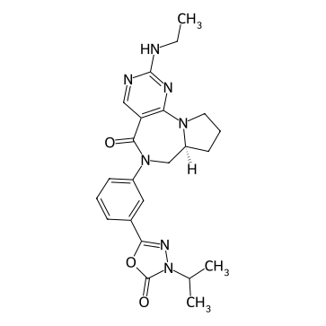 CCNc1ncc2c(n1)N1CCC[C@H]1CN(c1cccc(-c3nn(C(C)C)c(=O)o3)c1)C2=O